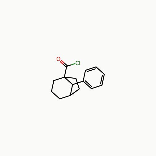 O=C(Cl)C12CCCC(CC1)C2c1ccccc1